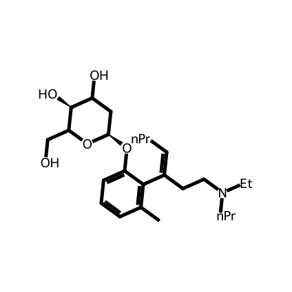 CCC/C=C(/CCN(CC)CCC)c1c(C)cccc1O[C@@H]1CC(O)[C@H](O)C(CO)O1